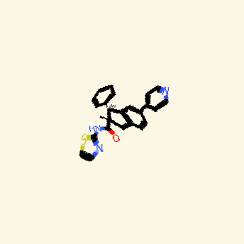 C[C@]1(C(=O)Nc2nccs2)Cc2ccc(-c3ccncc3)cc2[C@H]1c1ccccc1